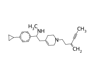 C=C(C#CC)CCN1CC=C(CC(NC)c2ccc(C3CC3)cc2)CC1